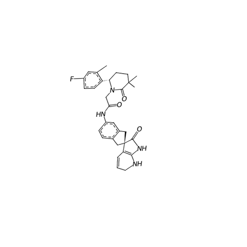 Cc1cc(F)ccc1[C@@H]1CCC(C)(C)C(=O)N1CC(=O)Nc1ccc2c(c1)C[C@@]1(C2)C(=O)NC2=C1C=CCN2